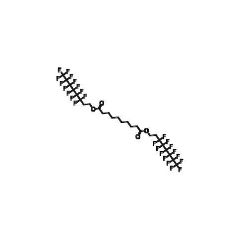 O=C(CCCCCCCCC(=O)OCCC(F)(F)C(F)(F)C(F)(F)C(F)(F)C(F)(F)C(F)(F)F)OCCC(F)(F)C(F)(F)C(F)(F)C(F)(F)C(F)(F)C(F)(F)F